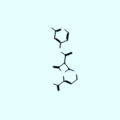 C=C(Sc1ccnc(N)c1)C1C(=O)N2C(C(=O)O)=CCS[C@H]12